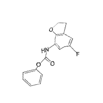 O=C(Nc1cc(F)cc2c1OCC2)Oc1ccccc1